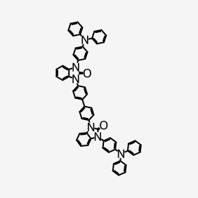 O=c1n(-c2ccc(-c3ccc(-n4c(=O)n(-c5ccc(N(c6ccccc6)c6ccccc6)cc5)c5ccccc54)cc3)cc2)c2ccccc2n1-c1ccc(N(c2ccccc2)c2ccccc2)cc1